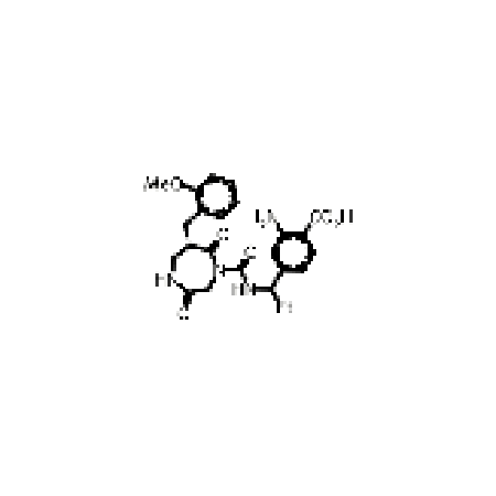 CCC(NC(=O)N1CC(=O)NC[C@@H](Cc2ccccc2OC)C1=O)c1ccc(C(=O)O)c(N)c1